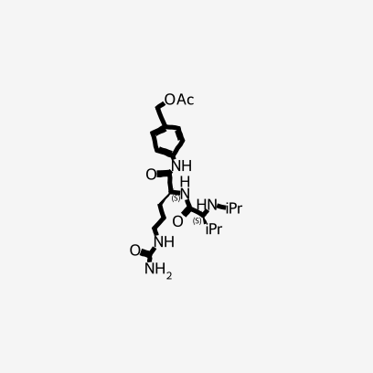 CC(=O)OCc1ccc(NC(=O)[C@H](CCCNC(N)=O)NC(=O)[C@@H](NC(C)C)C(C)C)cc1